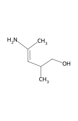 C/C(N)=C\C(C)CO